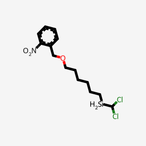 O=[N+]([O-])c1ccccc1COCCCCCC[SiH2]C(Cl)Cl